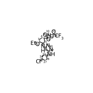 CCOc1ccc(S(=O)(=O)N(C)OC(=O)C(F)(F)F)cc1Nc1cc(Nc2ccc(Cl)cc2)ncn1